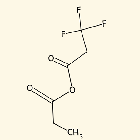 CCC(=O)OC(=O)CC(F)(F)F